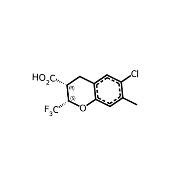 Cc1cc2c(cc1Cl)C[C@@H](C(=O)O)[C@@H](C(F)(F)F)O2